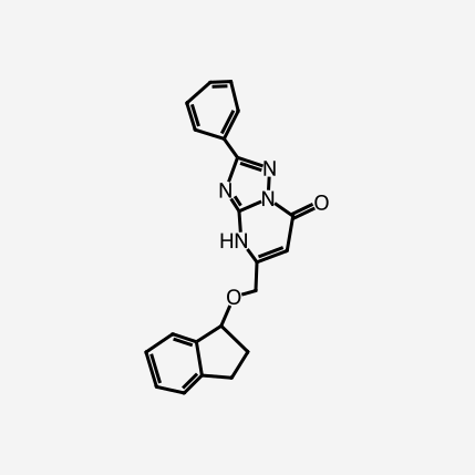 O=c1cc(COC2CCc3ccccc32)[nH]c2nc(-c3ccccc3)nn12